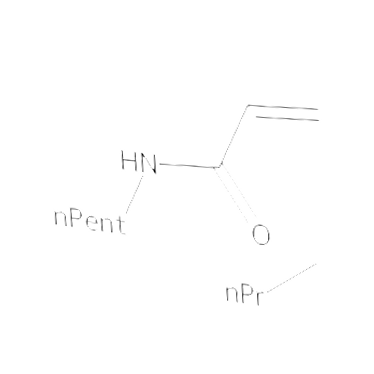 C=CC(=O)NCCCCC.CCCC